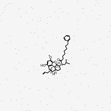 C=CCN1CC[C@]23c4c5c(O)cc(OC)c4O[C@H]2[C@@H](N(CC(C)C)C(=O)CCCCCCCc2ccccc2)CC[C@H]3[C@H]1C5